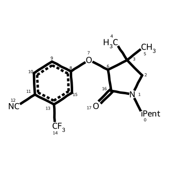 CCCC(C)N1CC(C)(C)C(Oc2ccc(C#N)c(C(F)(F)F)c2)C1=O